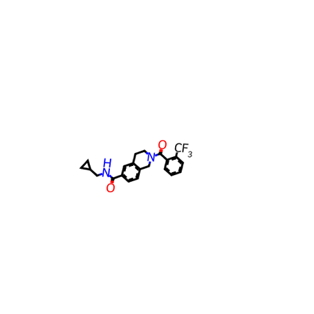 O=C(NCC1CC1)c1ccc2c(c1)CCN(C(=O)c1ccccc1C(F)(F)F)C2